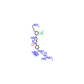 C[C@H](N)CCCc1cc(SC(F)(F)F)cc(-c2cc3cn(-c4ccc(C(NCCCNC(=N)N)c5nnn[nH]5)cc4)c(=O)nc3[nH]2)c1